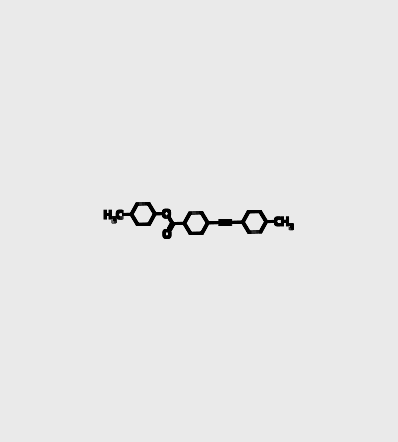 CC1CCC(C#CC2CCC(C(=O)OC3CCC(C)CC3)CC2)CC1